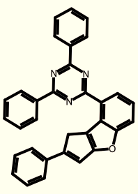 C1=C(c2ccccc2)Cc2c1oc1cccc(-c3nc(-c4ccccc4)nc(-c4ccccc4)n3)c21